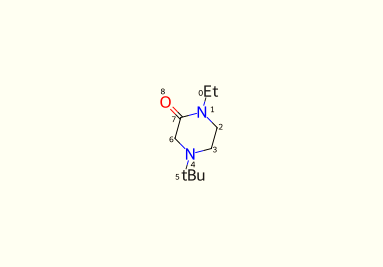 CCN1CCN(C(C)(C)C)CC1=O